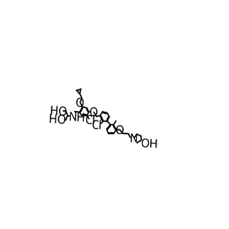 Cc1c(OCCCN2CCC(O)C2)cccc1-c1cccc(COc2cc(OCC3CC3)c(CNC(CO)CO)cc2Cl)c1Cl